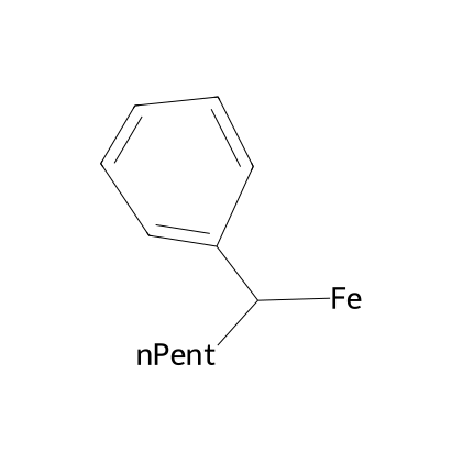 CCCCC[CH]([Fe])c1ccccc1